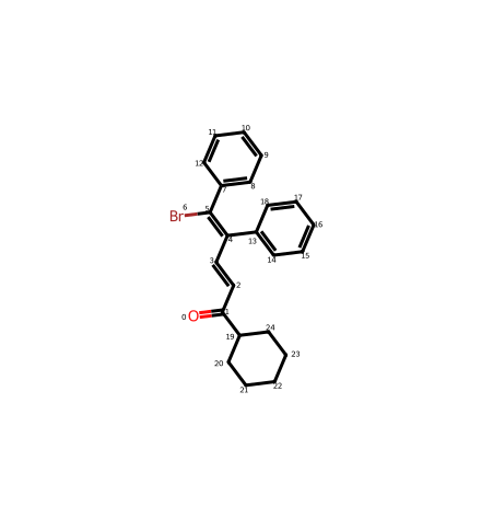 O=C(/C=C/C(=C(\Br)c1ccccc1)c1ccccc1)C1CCCCC1